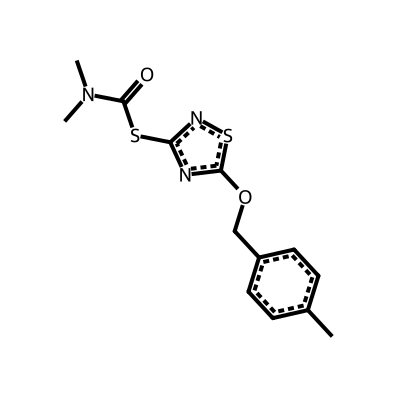 Cc1ccc(COc2nc(SC(=O)N(C)C)ns2)cc1